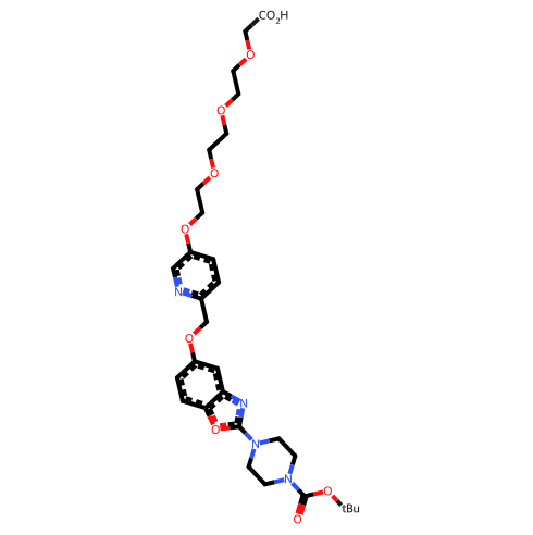 CC(C)(C)OC(=O)N1CCN(c2nc3cc(OCc4ccc(OCCOCCOCCOCC(=O)O)cn4)ccc3o2)CC1